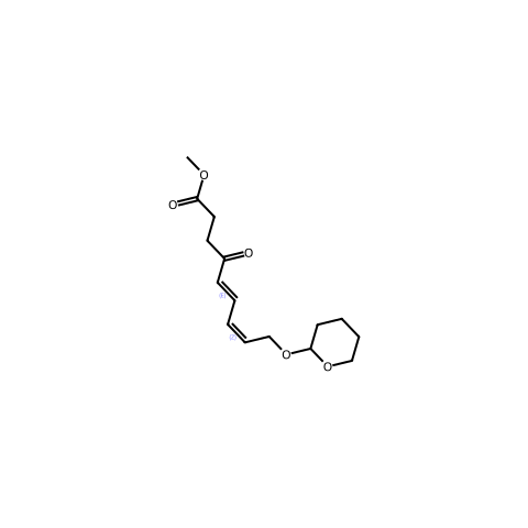 COC(=O)CCC(=O)/C=C/C=C\COC1CCCCO1